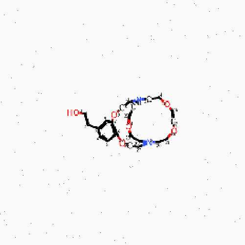 OCCc1ccc2c(c1)OCCN1CCOCCOCCN(CCOCC1)CCO2